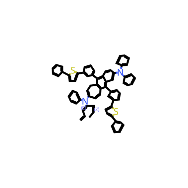 C=C/C=C(\C=C/C)N(C1=CCc2c(c(-c3cccc(-c4ccc(-c5ccccc5)s4)c3)c3cc(N(c4ccccc4)c4ccccc4)ccc3c2-c2cccc(-c3ccc(-c4ccccc4)s3)c2)C=C1)c1ccccc1